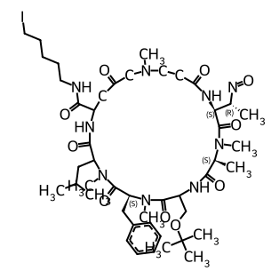 CC(C)CC1C(=O)NC(C(=O)NCCCCCI)CC(=O)CN(C)CCC(=O)N[C@@H]([C@@H](C)N=O)C(=O)N(C)[C@@H](C)C(=O)NC(COC(C)(C)C)C(=O)N(C)[C@@H](Cc2ccccc2)C(=O)N1C